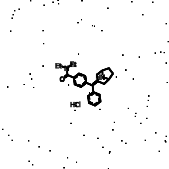 CCN(CC)C(=O)c1ccc(C(=C2CC3CCC(C2)N3)c2ccccc2)cc1.Cl